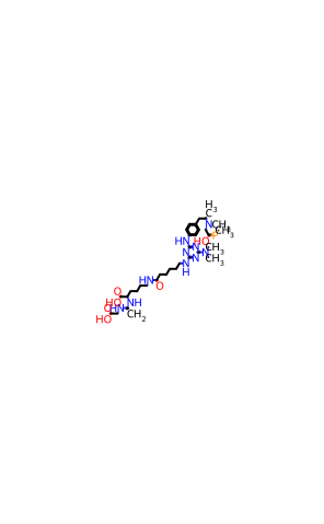 C=C(NCC(=O)O)NC(CCCCNC(=O)CCCCCNc1nc(Nc2ccc(CC(C)N(C)C/C(O)=P\C)cc2)nc(N(C)C)n1)C(=O)O